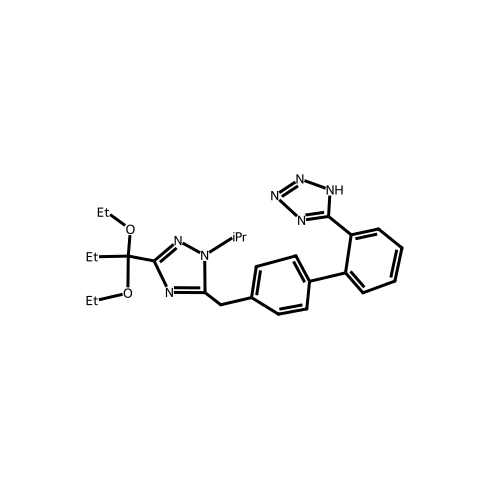 CCOC(CC)(OCC)c1nc(Cc2ccc(-c3ccccc3-c3nnn[nH]3)cc2)n(C(C)C)n1